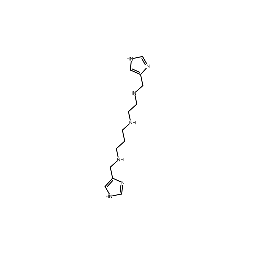 c1nc(CNCCCNCCNCc2c[nH]cn2)c[nH]1